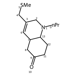 CCCN1CC(CSC)=CC2CC(=O)CCC21